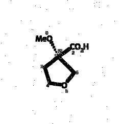 CO[C@@]1(C(=O)O)CCOC1